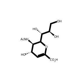 CC(=O)N[C@H]1C([C@H](O)[C@H](O)CO)OC(C(=O)O)=C[C@@H]1O